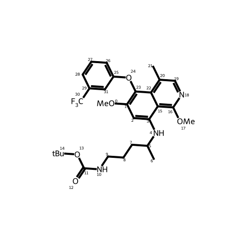 COc1cc(NC(C)CCCNC(=O)OC(C)(C)C)c2c(OC)ncc(C)c2c1Oc1cccc(C(F)(F)F)c1